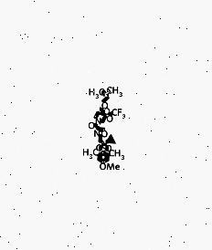 COc1cc(C)c(S(=O)(=O)N(Cc2nc(C(=O)N3CCC(COCCN(C)C)(OC(=O)C(F)(F)F)CC3)co2)C2CC2)c(C)c1